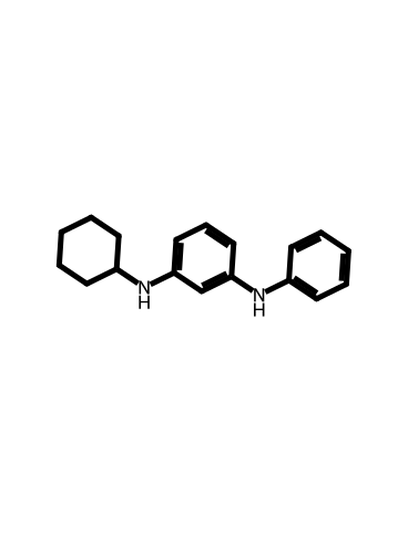 c1ccc(Nc2cccc(NC3CCCCC3)c2)cc1